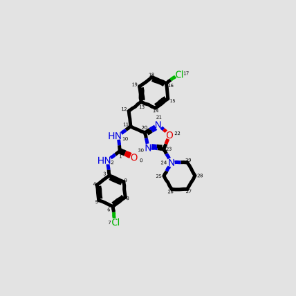 O=C(Nc1ccc(Cl)cc1)NC(Cc1ccc(Cl)cc1)c1noc(N2CCCCC2)n1